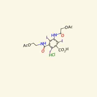 CC(=O)OCCNC(=O)c1c(I)c(NC(=O)COC(C)=O)c(I)c(C(=O)O)c1I.Cl